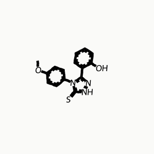 COc1ccc(-n2c(-c3ccccc3O)n[nH]c2=S)cc1